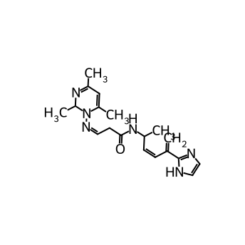 C=C(/C=C\C(C)NC(=O)C/C=N\N1C(C)=CC(C)=NC1C)c1ncc[nH]1